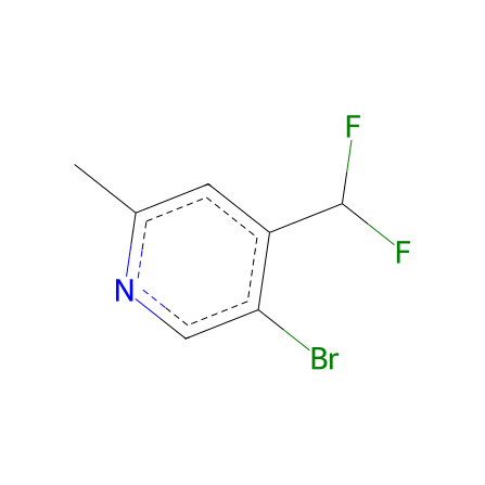 Cc1cc(C(F)F)c(Br)cn1